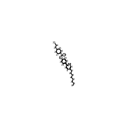 CCCCCCCCc1ccc(-c2ccc(OC(=O)[C@H]3CC[C@H](CCC)CC3)cc2)nc1